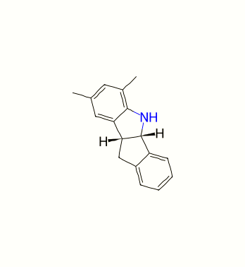 Cc1cc(C)c2c(c1)[C@H]1Cc3ccccc3[C@H]1N2